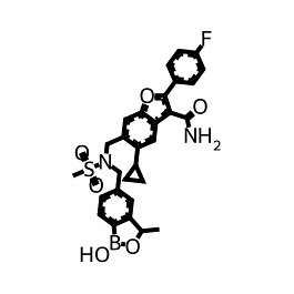 CC1OB(O)c2ccc(CN(Cc3cc4oc(-c5ccc(F)cc5)c(C(N)=O)c4cc3C3CC3)S(C)(=O)=O)cc21